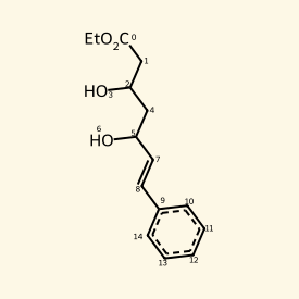 CCOC(=O)CC(O)CC(O)C=Cc1ccccc1